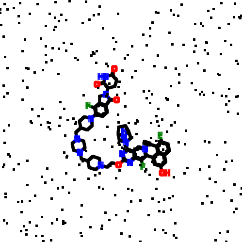 C#Cc1c(F)ccc2cc(O)cc(-c3ncc4c(N5CC6CCC(C5)N6)nc(OCCN5CCC(CN6CCN(CC7CCN(c8ccc9c(c8F)CN(C8CCC(=O)NC8=O)C9=O)CC7)CC6)CC5)nc4c3F)c12